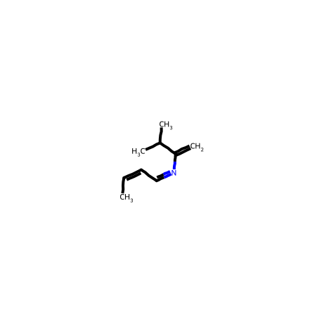 C=C(/N=C\C=C/C)C(C)C